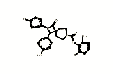 Cc1cccc(Cl)c1NC(=O)N1CCC2(CC1)C(=O)N(c1ccc(F)cc1)C2c1ccc(O)cc1